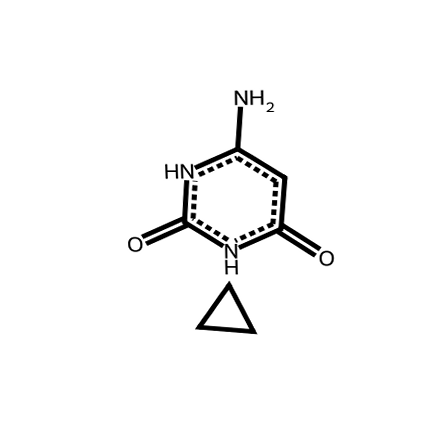 C1CC1.Nc1cc(=O)[nH]c(=O)[nH]1